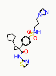 O=C(Nc1nccs1)[C@]1(c2ccc(S(=O)(=O)NCCCn3ccnc3)cc2)C[C@H]1C1CCCC1